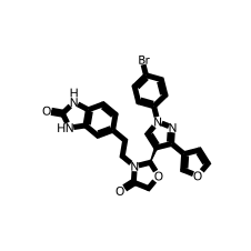 O=C1CO[C@H](c2cn(-c3ccc(Br)cc3)nc2-c2ccoc2)N1CCc1ccc2[nH]c(=O)[nH]c2c1